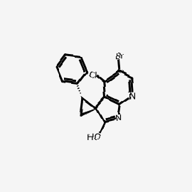 OC1=Nc2ncc(Br)c(Cl)c2[C@]12C[C@@H]2c1ccccc1